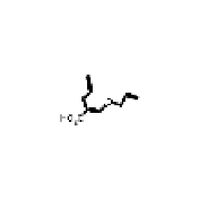 C=CCOC=C(CC=C)C(=O)O